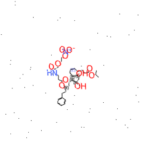 CC(C)OC(=O)CCC/C=C\C[C@@H]1[C@@H](CC[C@H](CCc2ccccc2)OC(=O)CCNC(=O)COCCO[N+](=O)[O-])[C@H](O)C[C@@H]1O